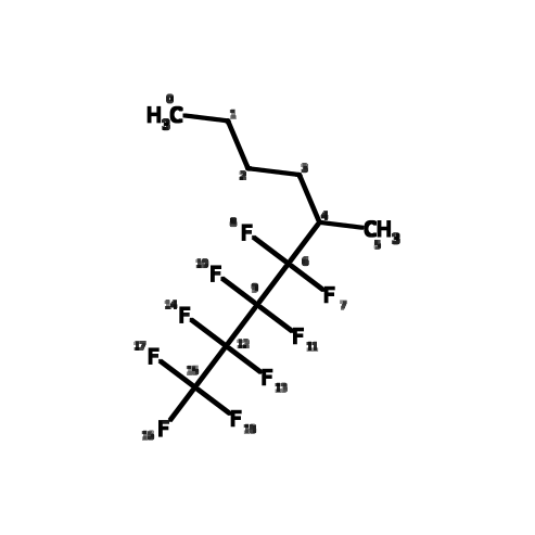 CCCCC(C)C(F)(F)C(F)(F)C(F)(F)C(F)(F)F